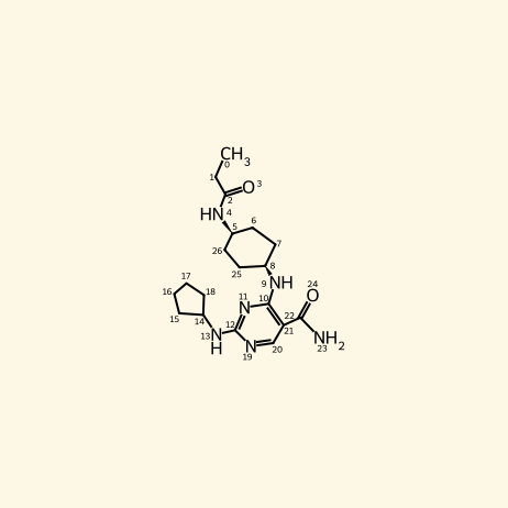 CCC(=O)N[C@H]1CC[C@@H](Nc2nc(NC3CCCC3)ncc2C(N)=O)CC1